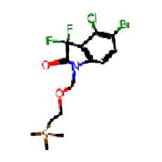 CS(C)(C)CCOCN1C(=O)C(F)(F)c2c1ccc(Br)c2Cl